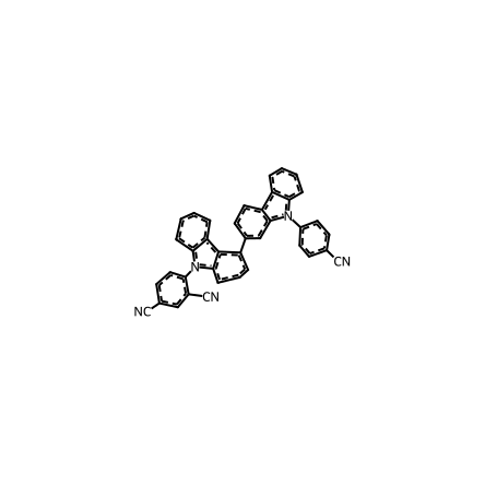 N#Cc1ccc(-n2c3ccccc3c3ccc(-c4cccc5c4c4ccccc4n5-c4ccc(C#N)cc4C#N)cc32)cc1